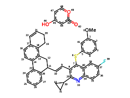 COc1cccc(Sc2c(/C=C/C3Cc4c(ccc5c4CCC=C5)-c4ccccc43)c(C3CC3)nc3ccc(F)cc23)c1.O=c1cc(O)cco1